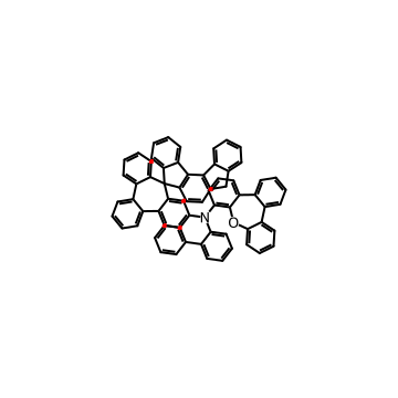 c1ccc(-c2ccccc2N(c2ccc3c(c2)C2(c4ccccc4-c4ccccc4-3)c3ccccc3-c3c2ccc2c3-c3ccccc3C2)c2cccc3c2Oc2ccccc2-c2ccccc2-3)cc1